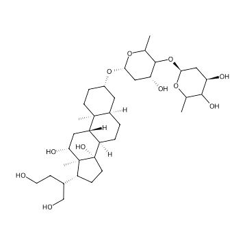 CC1O[C@@H](OC2C(C)O[C@@H](O[C@H]3CC[C@@]4(C)[C@H](CC[C@@H]5[C@@H]4C[C@@H](O)[C@]4(C)[C@@H](C(CO)CCO)CC[C@]54O)C3)C[C@H]2O)C[C@@H](O)C1O